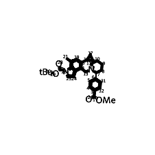 COC(=O)c1ccc([C@@H]2CCCCN2Cc2c(C3CC3)cc(C)c3c2ccn3C(=O)OC(C)(C)C)cc1